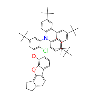 CC(C)(C)c1ccc(N(c2ccc(C(C)(C)C)cc2-c2cc(C(C)(C)C)cc(C(C)(C)C)c2)c2cc(C(C)(C)C)cc(Oc3cccc4c3oc3c5c(ccc34)CCC5)c2Cl)cc1